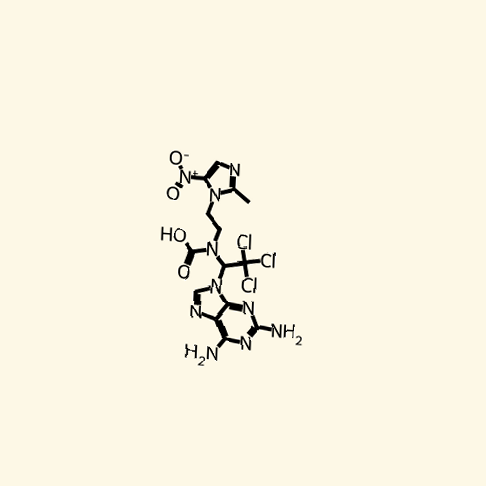 Cc1ncc([N+](=O)[O-])n1CCN(C(=O)O)C(n1cnc2c(N)nc(N)nc21)C(Cl)(Cl)Cl